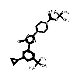 CC(C)(C)OC(=O)N1CCC(c2nc(-c3cc(C4CC4)cc(C(C)(C)C)c3)c(Cl)s2)CC1